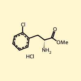 COC(=O)[C@H](N)Cc1ccccc1Cl.Cl